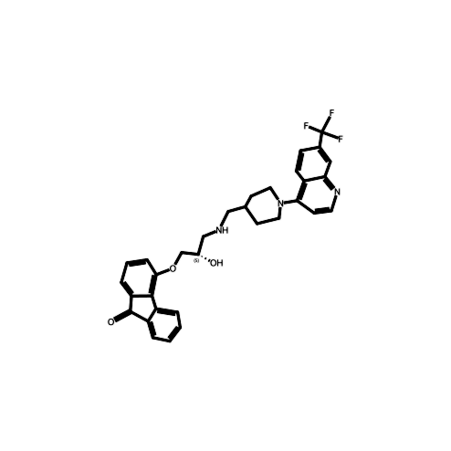 O=C1c2ccccc2-c2c(OC[C@@H](O)CNCC3CCN(c4ccnc5cc(C(F)(F)F)ccc45)CC3)cccc21